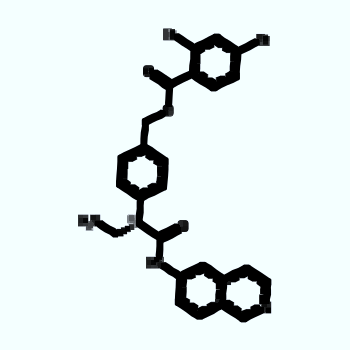 CCc1ccc(C(=O)OCc2ccc([C@@H](CN)C(=O)Nc3ccc4cnccc4c3)cc2)c(CC)c1